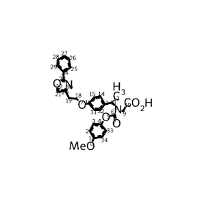 COc1ccc(OC(=O)N(CC(=O)O)[C@@H](C)c2ccc(OCCc3coc(-c4ccccc4)n3)cc2)cc1